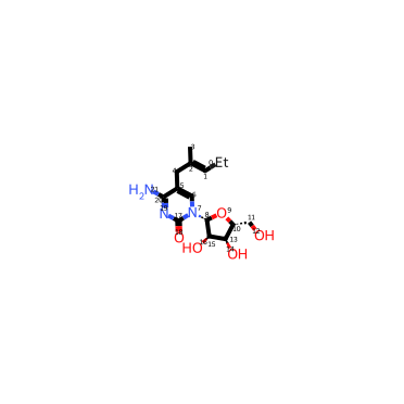 CCC=C(C)Cc1cn([C@@H]2O[C@H](CO)[C@@H](O)[C@H]2O)c(=O)nc1N